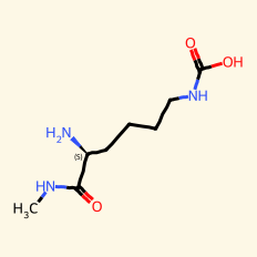 CNC(=O)[C@@H](N)CCCCNC(=O)O